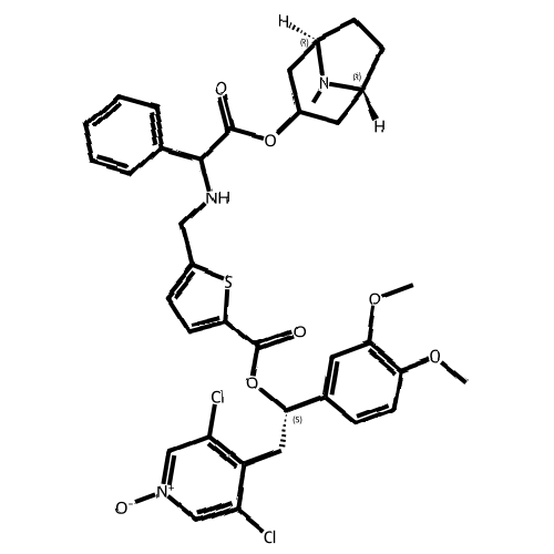 COc1ccc([C@H](Cc2c(Cl)c[n+]([O-])cc2Cl)OC(=O)c2ccc(CNC(C(=O)OC3C[C@H]4CC[C@H](C3)N4C)c3ccccc3)s2)cc1OC